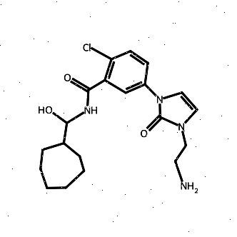 NCCn1ccn(-c2ccc(Cl)c(C(=O)NC(O)C3CCCCCC3)c2)c1=O